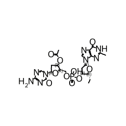 CC[C@H]1O[C@@H](n2cnc3c(=O)[nH]c(C)nc32)C[C@H]1OP(=O)(O)OC[C@H]1O[C@@H](n2cnc(N)nc2=O)C[C@H]1OC(C)=O